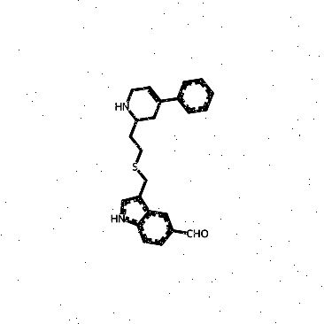 O=Cc1ccc2[nH]cc(CSCCC3CC(c4ccccc4)=CCN3)c2c1